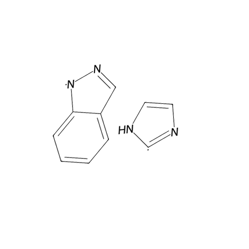 C1=N[N]c2ccccc21.[c]1ncc[nH]1